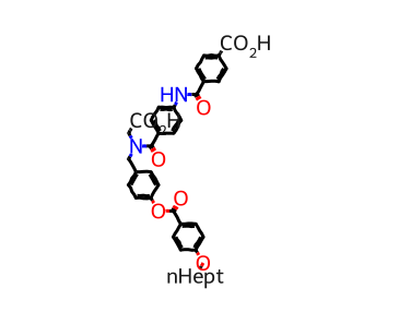 CCCCCCCOc1ccc(C(=O)Oc2ccc(CN(CC(=O)O)C(=O)c3ccc(NC(=O)c4ccc(C(=O)O)cc4)cc3)cc2)cc1